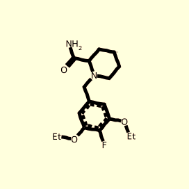 CCOc1cc(CN2CC[CH]CC2C(N)=O)cc(OCC)c1F